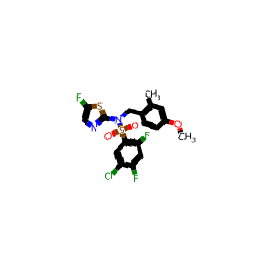 COc1ccc(CN(c2ncc(F)s2)S(=O)(=O)c2cc(Cl)c(F)cc2F)c(C)c1